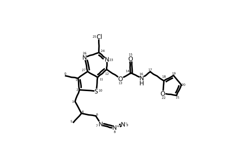 Cc1c(CC(C)CN=[N+]=[N-])sc2c(OC(=O)NCc3ccco3)nc(Cl)nc12